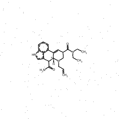 C=CCN1CC(C(=O)N(CC)CC)C=C2c3cccc4[nH]cc(c34)C(C(N)=O)[C@H]21